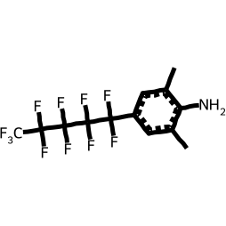 Cc1cc(C(F)(F)C(F)(F)C(F)(F)C(F)(F)C(F)(F)F)cc(C)c1N